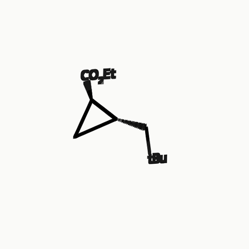 CCOC(=O)[C@@H]1C[C@H]1CC(C)(C)C